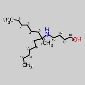 CCCCCCC(C)(CCCCCC)NCCCCO